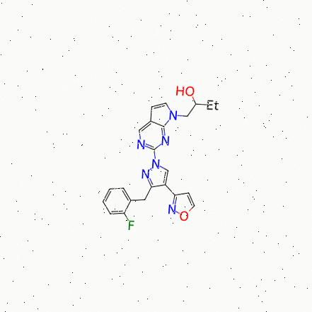 CCC(O)Cn1ccc2cnc(-n3cc(-c4ccon4)c(Cc4ccccc4F)n3)nc21